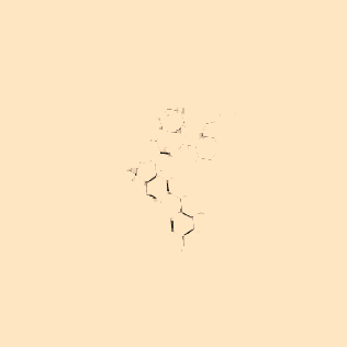 COC[C@@]1(C)COCCN1C[C@H]1CN[C@H](C)CN1CC(=O)N1CC(C)(C)c2cnc(Cc3ccc(F)cc3C)cc21